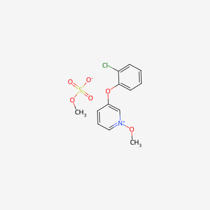 COS(=O)(=O)[O-].CO[n+]1cccc(Oc2ccccc2Cl)c1